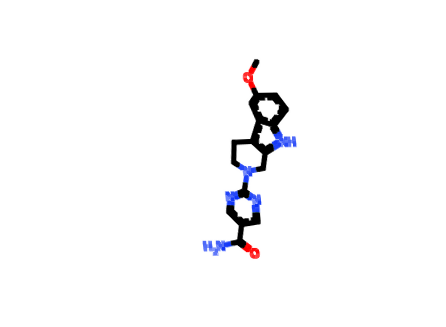 COc1ccc2[nH]c3c(c2c1)CCN(c1ncc(C(N)=O)cn1)C3